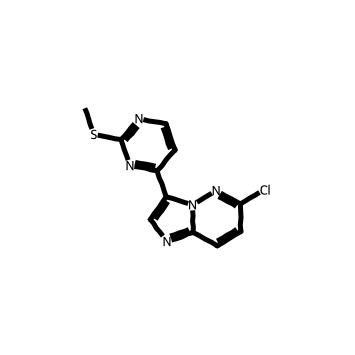 CSc1nccc(-c2cnc3ccc(Cl)nn23)n1